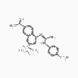 CS(=O)(=O)O.CS(=O)(=O)O.N=C(N)c1ccc2c(N=C(N)Nc3ccc(C(=O)O)cc3)cccc2c1